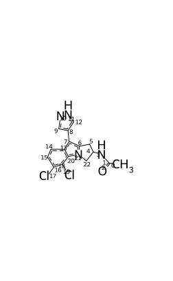 CC(=O)NC1Cc2c(-c3cn[nH]c3)c3ccc(Cl)c(Cl)c3n2C1